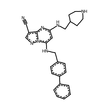 N#Cc1cnn2c(NCc3ccc(-c4ccccc4)cc3)cc(NCC3CCNCC3)nc12